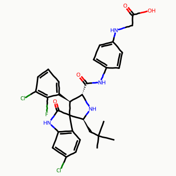 CC(C)(C)C[C@@H]1N[C@@H](C(=O)Nc2ccc(NCC(=O)O)cc2)[C@H](c2cccc(Cl)c2F)C12C(=O)Nc1cc(Cl)ccc12